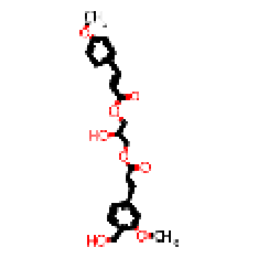 COc1ccc(/C=C/C(=O)OCC(O)COC(=O)/C=C/c2ccc(CO)c(OC)c2)cc1